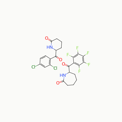 O=C1CCCC(C(=O)c2ccc(Cl)cc2Cl)N1.O=C1CCCCC(C(=O)c2c(F)c(F)c(F)c(F)c2F)N1